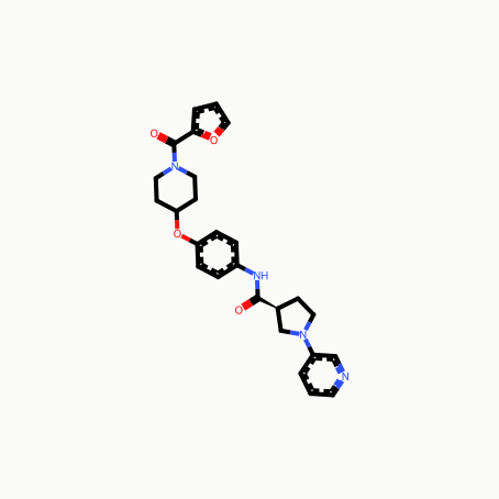 O=C(Nc1ccc(OC2CCN(C(=O)c3ccco3)CC2)cc1)[C@H]1CCN(c2cccnc2)C1